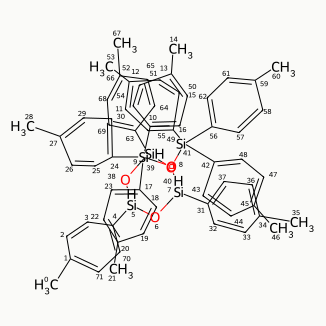 Cc1ccc([SiH](O[SiH](O[Si](c2ccc(C)cc2)(c2ccc(C)cc2)c2ccc(C)cc2)c2ccc(C)cc2)O[SiH](O[Si](c2ccc(C)cc2)(c2ccc(C)cc2)c2ccc(C)cc2)c2ccc(C)cc2)cc1